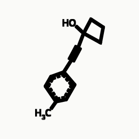 Cc1ccc(C#CC2(O)CCC2)cc1